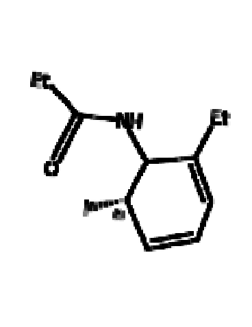 CCC(=O)NC1C(CC)=CC=C[C@@H]1I